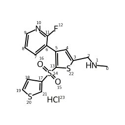 CNCc1cc(-c2cccnc2F)c(S(=O)(=O)c2ccsc2)s1.Cl